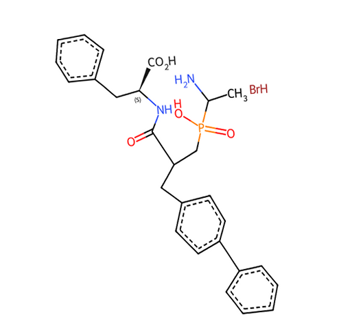 Br.CC(N)P(=O)(O)CC(Cc1ccc(-c2ccccc2)cc1)C(=O)N[C@@H](Cc1ccccc1)C(=O)O